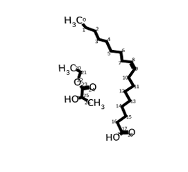 CCCCCCCC/C=C\CCCCCCCC(=O)O.CCOC(=O)C(C)O